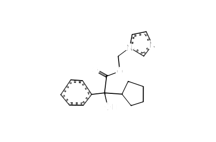 O=C(OCn1ccnc1)C(O)(c1ccccc1)C1CCCC1